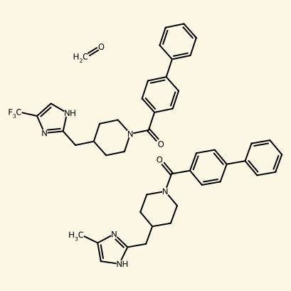 C=O.Cc1c[nH]c(CC2CCN(C(=O)c3ccc(-c4ccccc4)cc3)CC2)n1.O=C(c1ccc(-c2ccccc2)cc1)N1CCC(Cc2nc(C(F)(F)F)c[nH]2)CC1